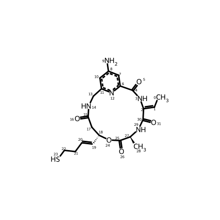 C/C=C1\NC(=O)c2cc(N)cc(n2)CNC(=O)C[C@@H](/C=C/CCS)OC(=O)[C@H](C)NC1=O